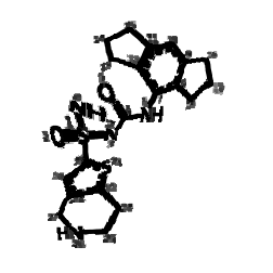 NS(=O)(=NC(=O)Nc1c2c(cc3c1CCC3)CCC2)c1cc2c(s1)CCNC2